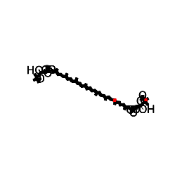 C=C1O[C@H]([C@@H](O)COP(C)(=O)OC/C(C)=C/CC/C(C)=C/C=C/C(C)=C/C=C/C(C)=C/C=C/C=C(C)/C=C/C=C(C)/C=C/C=C(\C)CC/C=C(\C)COP(C)(=O)OC[C@@H](O)[C@@H]2OC(=O)C(C)=C2C)C(C)=C1C